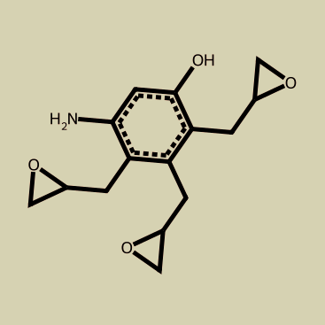 Nc1cc(O)c(CC2CO2)c(CC2CO2)c1CC1CO1